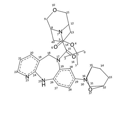 CC(C)(C)OC(=O)N1C2COCC1CC(C(=O)N1Cc3cccnc3Nc3ccc(N4CC5CCC4CO5)cc31)C2